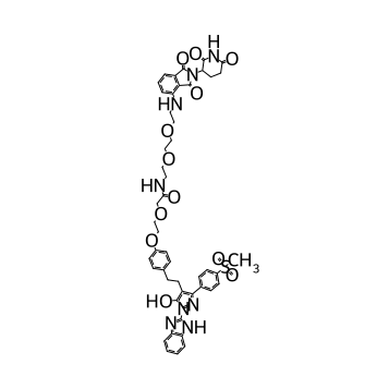 CS(=O)(=O)c1ccc(-c2nn(-c3nc4ccccc4[nH]3)c(O)c2CCc2ccc(OCCOCC(=O)NCCOCCOCCNc3cccc4c3C(=O)N(C3CCC(=O)NC3=O)C4=O)cc2)cc1